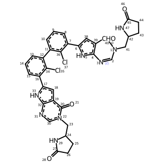 CN(/C=N\c1[nH]c(-c2cccc(-c3cccc(-c4cc5c(=O)n(CC6CCC(=O)N6)cnc5[nH]4)c3Cl)c2Cl)cc1C=O)CC1CCC(=O)N1